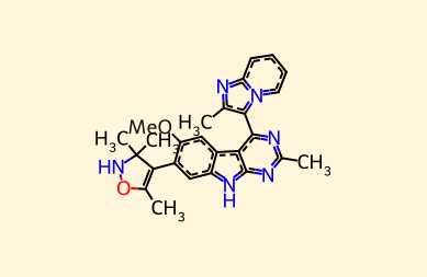 COc1cc2c(cc1C1=C(C)ONC1(C)C)[nH]c1nc(C)nc(-c3c(C)nc4ccccn34)c12